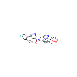 C[C@H]1CN(C(=O)c2cncc(-c3ccc(F)cc3C#N)c2)Cc2cnc(C(C)(O)C(F)(F)F)n21